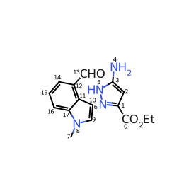 CCOC(=O)c1cc(N)[nH]n1.Cn1ccc2c(C=O)cccc21